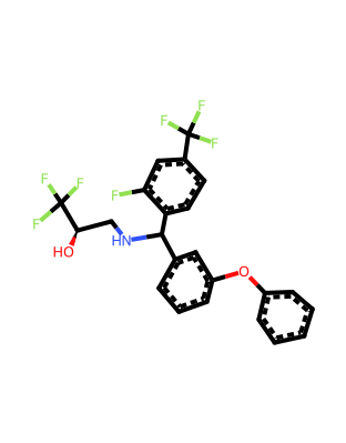 O[C@H](CNC(c1cccc(Oc2ccccc2)c1)c1ccc(C(F)(F)F)cc1F)C(F)(F)F